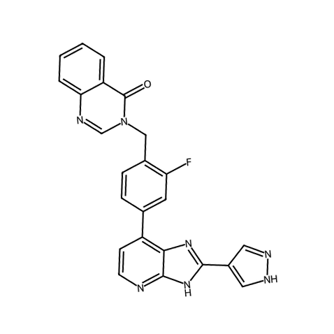 O=c1c2ccccc2ncn1Cc1ccc(-c2ccnc3[nH]c(-c4cn[nH]c4)nc23)cc1F